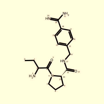 CCC(N)C(=O)N1CCC[C@H]1C(=O)NCc1ccc(C(=N)N)cc1